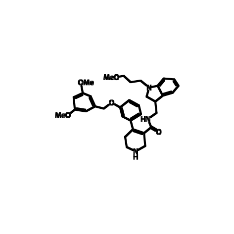 COCCCN1CC(CNC(=O)C2=C(c3cccc(OCc4cc(OC)cc(OC)c4)c3)CCNC2)c2ccccc21